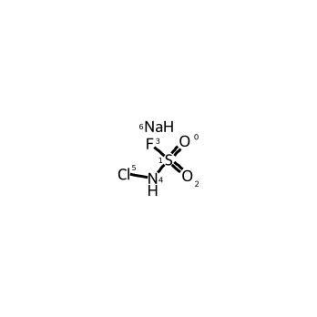 O=S(=O)(F)NCl.[NaH]